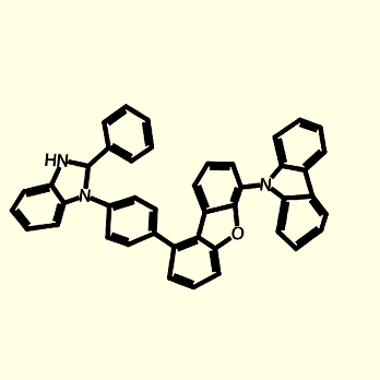 c1ccc(C2Nc3ccccc3N2c2ccc(-c3cccc4oc5c(-n6c7ccccc7c7ccccc76)cccc5c34)cc2)cc1